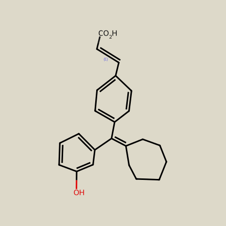 O=C(O)/C=C/c1ccc(C(=C2CCCCCC2)c2cccc(O)c2)cc1